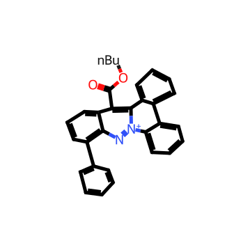 CCCCOC(=O)c1c2cccc(-c3ccccc3)c2n[n+]2c3ccccc3c3ccccc3c12